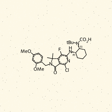 COc1ccc(CN2C(=O)c3c(Cl)nc(N[C@@H]4CCCC[C@@H]4N(C(=O)O)C(C)(C)C)c(F)c3C2(C)C)c(OC)c1